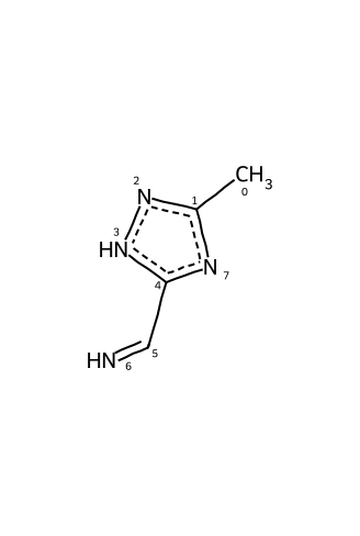 Cc1n[nH]c(C=N)n1